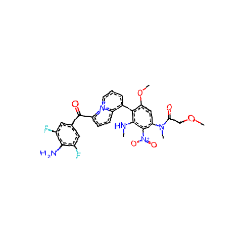 CNc1c(-c2cccn3c(C(=O)c4cc(F)c(N)c(F)c4)ccc23)c(OC)cc(N(C)C(=O)COC)c1[N+](=O)[O-]